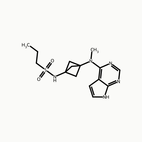 CCCS(=O)(=O)NC12CC(N(C)c3ncnc4[nH]ccc34)(C1)C2